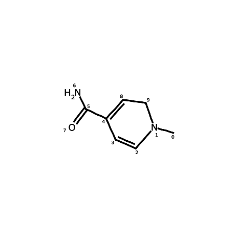 CN1C=CC(C(N)=O)=CC1